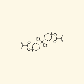 C=C(C)C(=O)OC1(C)CCC(C(CC)(CC)C2CCC(C)(OC(=O)C(=C)C)CC2)CC1